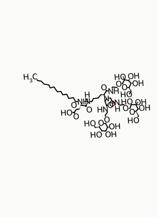 CCCCCCCCCCCCCC(=O)N[C@@H](CCC(=O)O)C(=O)NCCCC[C@@H](C(=O)NCCO[C@H]1O[C@H](CO)[C@@H](O)[C@H](O)[C@@H]1O)N(CC(=O)NCCO[C@H]1O[C@H](CO)[C@@H](O)[C@H](O)[C@@H]1O)CC(=O)NCCO[C@H]1O[C@H](CO)[C@@H](O)[C@H](O)[C@@H]1O